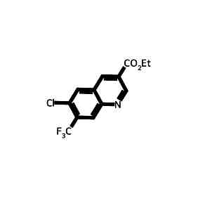 CCOC(=O)c1cnc2cc(C(F)(F)F)c(Cl)cc2c1